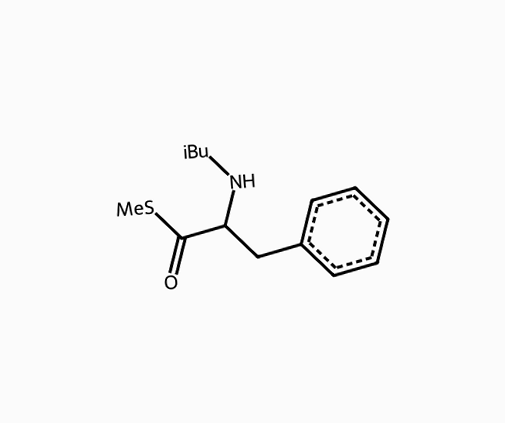 CCC(C)NC(Cc1ccccc1)C(=O)SC